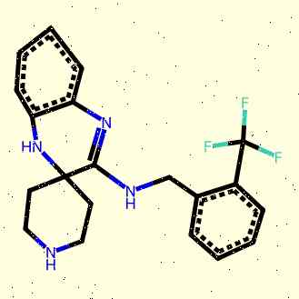 FC(F)(F)c1ccccc1CNC1=Nc2ccccc2NC12CCNCC2